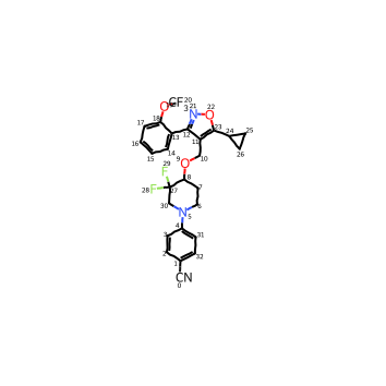 N#Cc1ccc(N2CCC(OCc3c(-c4ccccc4OC(F)(F)F)noc3C3CC3)C(F)(F)C2)cc1